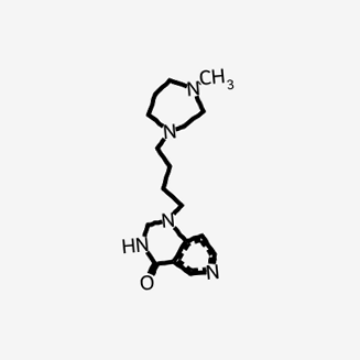 CN1CCCN(CCCCN2CNC(=O)c3cnccc32)CC1